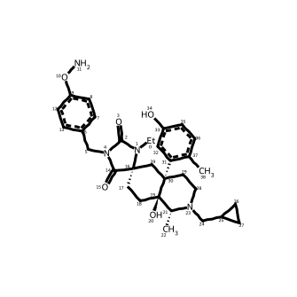 CCN1C(=O)N(Cc2ccc(ON)cc2)C(=O)[C@@]12CC[C@@]1(O)[C@@H](C)N(CC3CC3)CC[C@]1(c1cc(O)ccc1C)C2